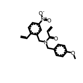 C=CC(=O)N(Cc1ccc(OC)cc1)Cc1cc([N+](=O)[O-])ccc1C=C